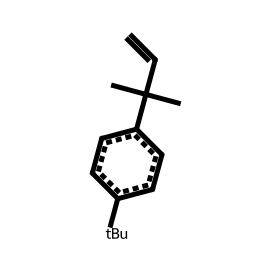 C=CC(C)(C)c1ccc(C(C)(C)C)cc1